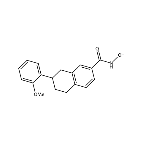 COc1ccccc1C1CCc2ccc(C(=O)NO)cc2C1